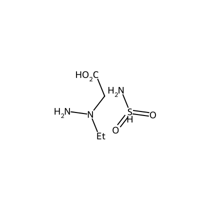 CCN(N)CC(=O)O.N[SH](=O)=O